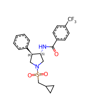 O=C(N[C@@H]1CN(S(=O)(=O)CC2CC2)C[C@H]1c1ccccc1)c1ccc(C(F)(F)F)cc1